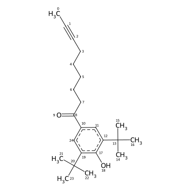 CC#CCCCCCC(=O)c1cc(C(C)(C)C)c(O)c(C(C)(C)C)c1